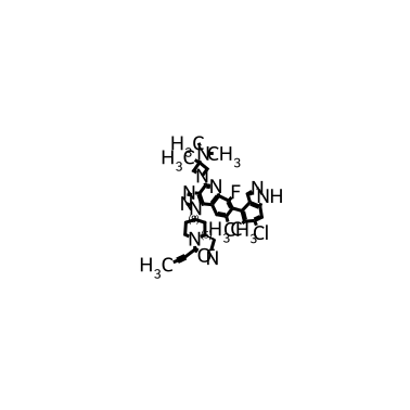 CC#CC(=O)N1CC[C@H](n2nnc3c(N4CC(C)(N(C)C)C4)nc4c(F)c(-c5c(C)c(Cl)cc6[nH]ncc56)c(C)cc4c32)C[C@H]1CC#N